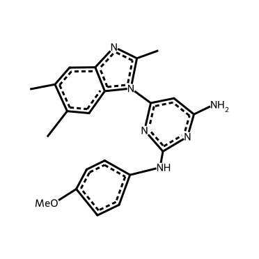 COc1ccc(Nc2nc(N)cc(-n3c(C)nc4cc(C)c(C)cc43)n2)cc1